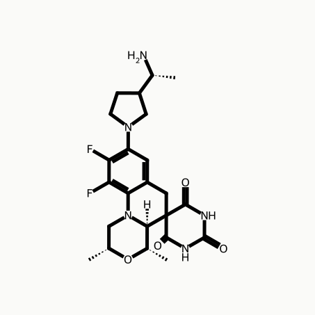 C[C@@H]1CN2c3c(cc(N4CCC([C@@H](C)N)C4)c(F)c3F)CC3(C(=O)NC(=O)NC3=O)[C@H]2[C@H](C)O1